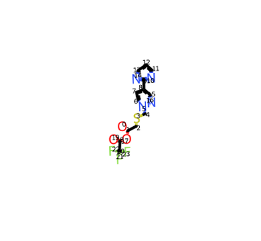 O=C(CSC[n+]1ccc(-c2ncccn2)cn1)OC(=O)C(F)(F)F